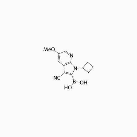 COc1cnc2c(c1)c(C#N)c(B(O)O)n2C1CCC1